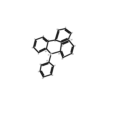 [c]1cccc(-c2ccccc2P(c2ccccc2)c2ccccc2)c1